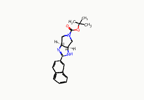 CC(C)(C)OC(=O)N1C[C@@H]2N=C(c3ccc4ccccc4c3)N[C@@H]2C1